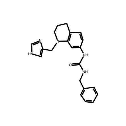 O=C(NCc1ccccc1)Nc1ccc2c(c1)N(Cc1c[nH]cn1)CCC2